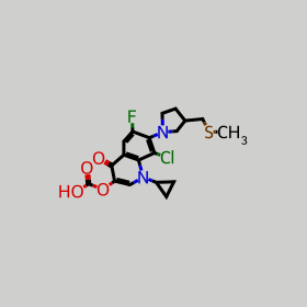 CSCC1CCN(c2c(F)cc3c(=O)c(OC(=O)O)cn(C4CC4)c3c2Cl)C1